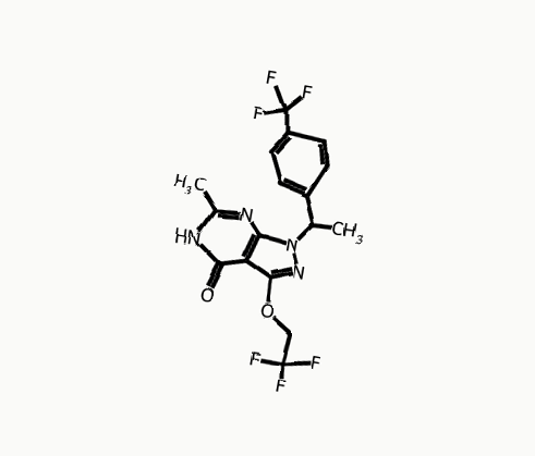 Cc1nc2c(c(OCC(F)(F)F)nn2C(C)c2ccc(C(F)(F)F)cc2)c(=O)[nH]1